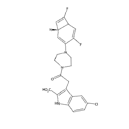 O=C(O)c1[nH]c2ccc(Cl)cc2c1CC(=O)N1CCN(C2=C[C@@H]3C=C(F)C3C=C2F)CC1